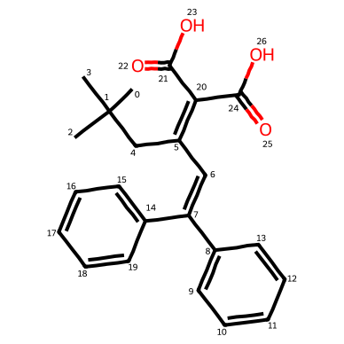 CC(C)(C)CC(C=C(c1ccccc1)c1ccccc1)=C(C(=O)O)C(=O)O